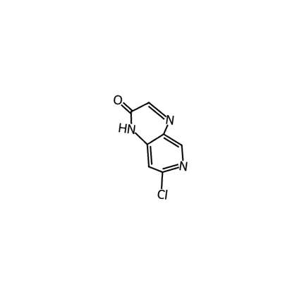 O=c1cnc2cnc(Cl)cc2[nH]1